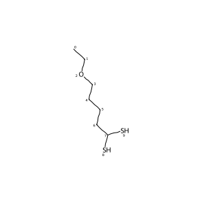 CCOCCCCC(S)S